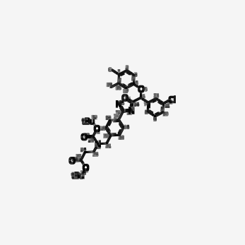 Cc1ccc(OC(c2cccc(Cl)c2)c2nc(-c3ccc(CN(CCC(=O)OC(C)(C)C)C(=O)OC(C)(C)C)cc3)no2)cc1C